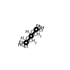 CCC1C=C(C(C)(C)c2ccc(C(C)(C)C3=CC(CC)C(O)(CC)C=C3)cc2)C=CC1(O)CC